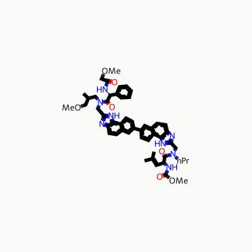 CCCN(Cc1nc2ccc3cc(-c4ccc5c(ccc6nc(CN(CC(C)COC)C(=O)[C@H](NC(=O)COC)c7ccccc7)[nH]c65)c4)ccc3c2[nH]1)C(=O)C(C=C(C)C)NC(=O)OC